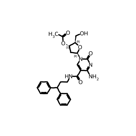 CC(=O)O[C@H]1C[C@H](n2cc(C(=O)NCCC(c3ccccc3)c3ccccc3)c(N)nc2=O)O[C@@H]1CO